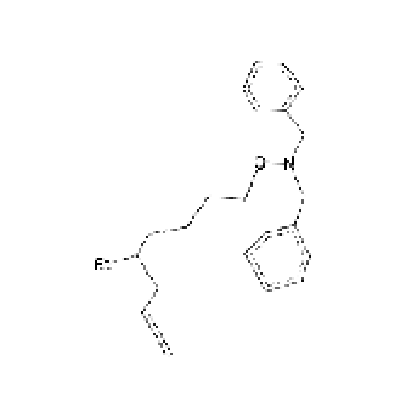 C=CCC(CC)CCCCON(Cc1ccccc1)Cc1ccccc1